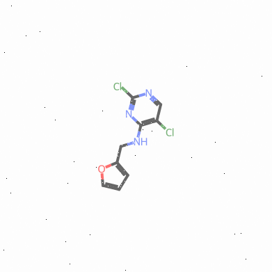 Clc1ncc(Cl)c(NCc2ccco2)n1